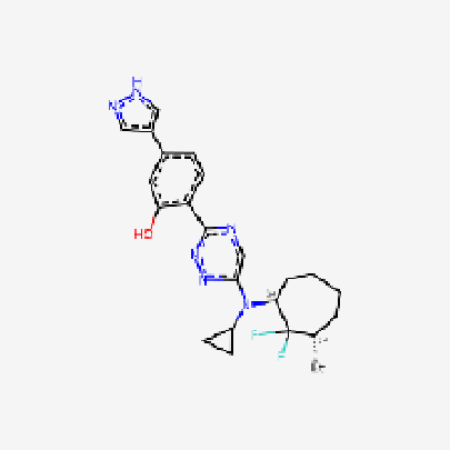 CC[C@H]1CCCC[C@H](N(c2cnc(-c3ccc(-c4cn[nH]c4)cc3O)nn2)C2CC2)C1(F)F